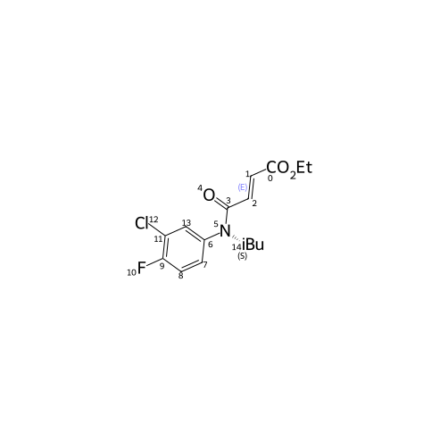 CCOC(=O)/C=C/C(=O)N(c1ccc(F)c(Cl)c1)[C@@H](C)CC